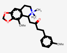 COc1cccc(CCC(=O)CC2c3c(cc4c(c3OC)OCO4)CC[N+]2(C)C)c1